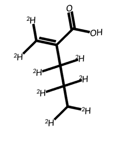 [2H]C([2H])=C(C(=O)O)C([2H])([2H])C([2H])([2H])C([2H])[2H]